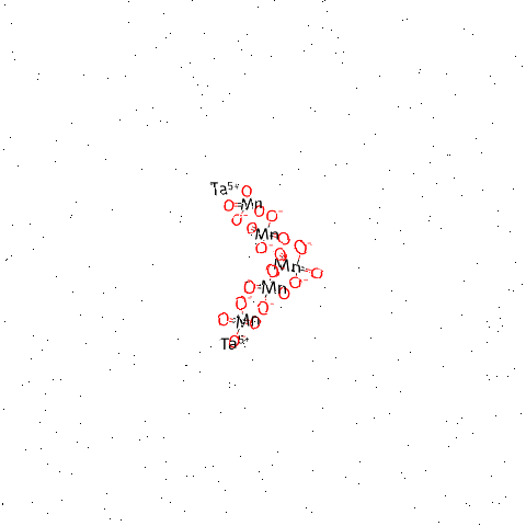 [O]=[Mn](=[O])([O-])[O-].[O]=[Mn](=[O])([O-])[O-].[O]=[Mn](=[O])([O-])[O-].[O]=[Mn](=[O])([O-])[O-].[O]=[Mn](=[O])([O-])[O-].[Ta+5].[Ta+5]